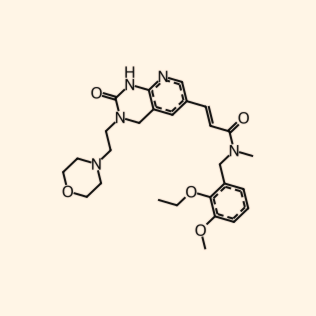 CCOc1c(CN(C)C(=O)C=Cc2cnc3c(c2)CN(CCN2CCOCC2)C(=O)N3)cccc1OC